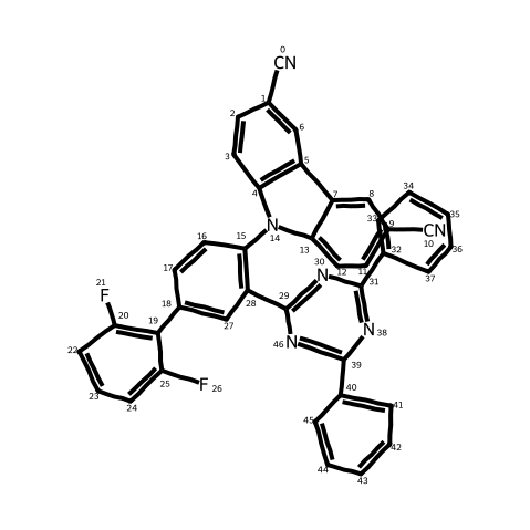 N#Cc1ccc2c(c1)c1cc(C#N)ccc1n2-c1ccc(-c2c(F)cccc2F)cc1-c1nc(-c2ccccc2)nc(-c2ccccc2)n1